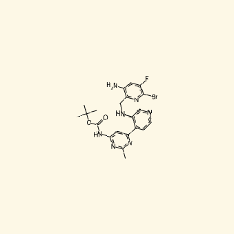 Cc1nc(NC(=O)OC(C)(C)C)cc(-c2ccncc2NCc2nc(Br)c(F)cc2N)n1